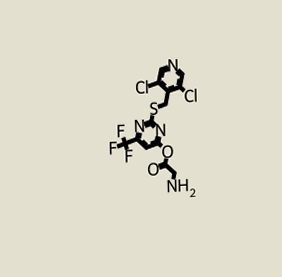 NCC(=O)Oc1cc(C(F)(F)F)nc(SCc2c(Cl)cncc2Cl)n1